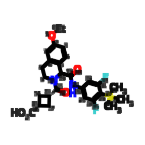 CCOc1ccc2c(c1)CCN(C(=O)[C@H]1C[C@@H](C(=O)O)C1)C2C(=O)Nc1cc(F)c(S(C)(C)C)c(F)c1